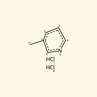 Cc1cccnc1.Cl.Cl